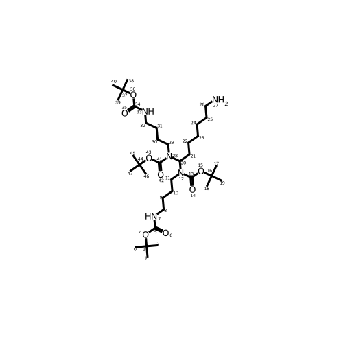 CC(C)(C)OC(=O)NCCCCN(C(=O)OC(C)(C)C)C(CCCCCCN)N(CCCCNC(=O)OC(C)(C)C)C(=O)OC(C)(C)C